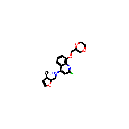 CC1C=COC1CNc1cc(Cl)nc2c(OCC3COCCO3)cccc12